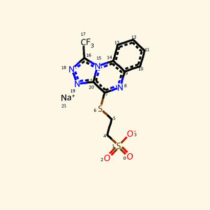 O=S(=O)([O-])CCSc1nc2ccccc2n2c(C(F)(F)F)nnc12.[Na+]